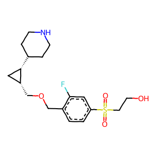 O=S(=O)(CCO)c1ccc(COC[C@@H]2C[C@@H]2C2CCNCC2)c(F)c1